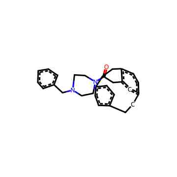 O=C(Cc1cc2ccc1CCc1ccc(cc1)CC2)N1CCN(Cc2ccccc2)CC1